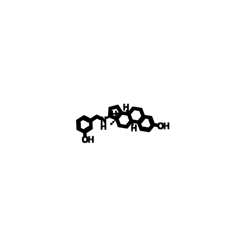 C[C@@]12CC[C@@H]3c4ccc(O)cc4CC[C@H]3[C@@H]1CC[C@H]2NCc1cccc(O)c1